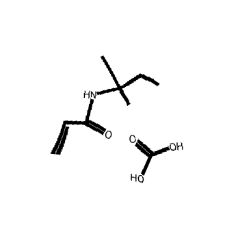 C=CC(=O)NC(C)(C)CC.O=C(O)O